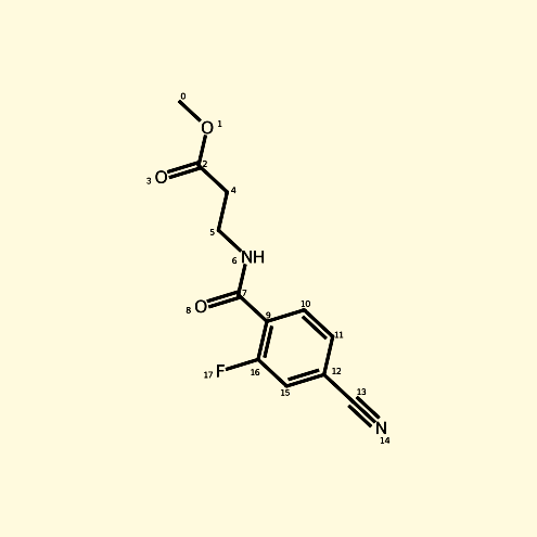 COC(=O)CCNC(=O)c1ccc(C#N)cc1F